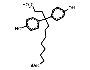 CCCCCCCCCCCCCCCCCC(CCC(=O)O)(c1ccc(O)cc1)c1ccc(O)cc1